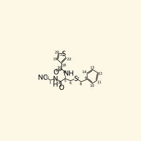 N#CCNC(=O)C(CSCc1ccccc1)NC(=O)c1ccsc1